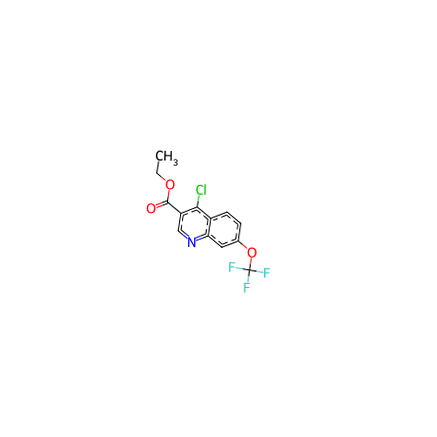 CCOC(=O)c1cnc2cc(OC(F)(F)F)ccc2c1Cl